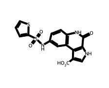 O=C(O)c1c[nH]c2c(=O)[nH]c3ccc(NS(=O)(=O)c4cccs4)cc3c12